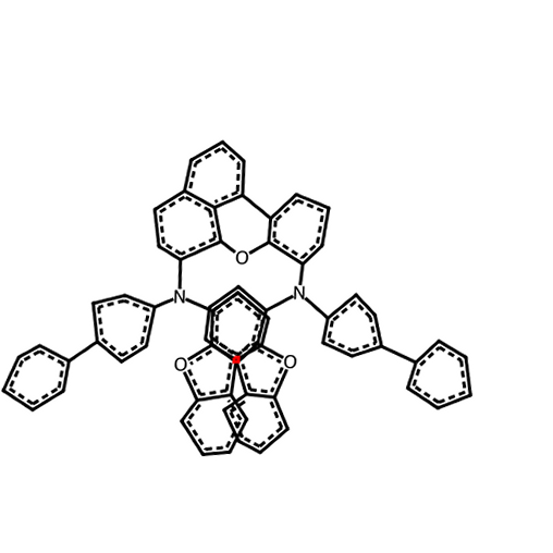 c1ccc(-c2ccc(N(c3cccc4c3Oc3c(N(c5ccc(-c6ccccc6)cc5)c5cccc6c5oc5ccccc56)ccc5cccc-4c35)c3cccc4c3oc3ccccc34)cc2)cc1